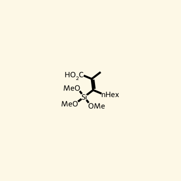 CCCCCCC(=C(C)C(=O)O)[Si](OC)(OC)OC